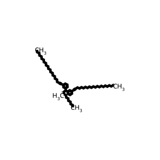 CCCCCCCCCCCCCCCCCCCCC#Cc1cccc(C([CH]C(C)CCCCCCCC)c2cccc(C#CCCCCCCCCCCCCCCCCCCCC)c2)c1